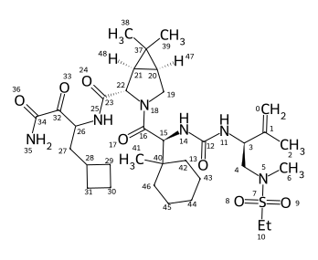 C=C(C)[C@@H](CN(C)S(=O)(=O)CC)NC(=O)N[C@H](C(=O)N1C[C@H]2[C@@H]([C@H]1C(=O)NC(CC1CCC1)C(=O)C(N)=O)C2(C)C)C1(C)CCCCC1